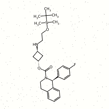 CC(C)(C)[Si](C)(C)OCCN[C@H]1C[C@H](OC(=O)N2CCc3ccccc3[C@@H]2c2ccc(F)cc2)C1